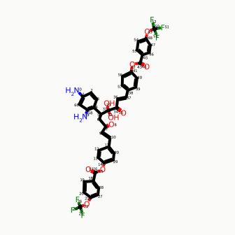 Nc1ccc(C(CC(=O)/C=C/c2ccc(OC(=O)c3ccc(OC(F)(F)F)cc3)cc2)C(O)(O)C(=O)/C=C/c2ccc(OC(=O)c3ccc(OC(F)(F)F)cc3)cc2)c(N)c1